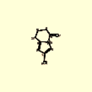 CCc1cc2n(c1)C(=O)CCC2